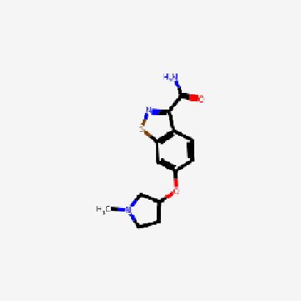 CN1CCC(Oc2ccc3c(C(N)=O)nsc3c2)C1